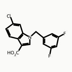 O=C(O)c1cn(Cc2cc(F)cc(F)c2)c2cc(Cl)ccc12